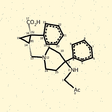 CC(=O)CNC1(c2ccccc2)CCN(C[C@@H]2C[C@@]2(C(=O)O)c2ccccc2)CC1